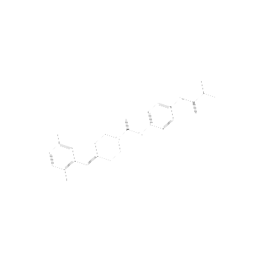 CC(C)C(=O)Nc1ccc(NC(=O)N2CCC(=Cc3cc(F)ccc3F)CC2)cc1